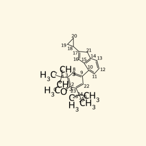 COc1c(C(C)(C)C)cc(-c2cccc3c2C=C(C2CC2)C3)cc1C(C)(C)C